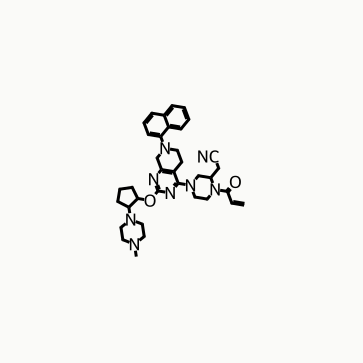 C=CC(=O)N1CCN(c2nc(OC3CCCC3N3CCN(C)CC3)nc3c2CCN(c2cccc4ccccc24)C3)CC1CC#N